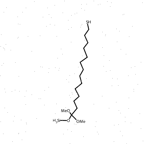 COC(CCCCCCCCCCCCCS)(OC)O[SiH3]